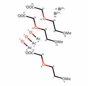 CC(=O)[O-].CC(=O)[O-].CC(=O)[O-].COCCOCC(=O)[O-].COCCOCC(=O)[O-].COCCOCC(=O)[O-].[Bi+3].[Bi+3]